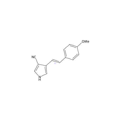 COc1ccc(/C=C/c2c[nH]cc2C#N)cc1